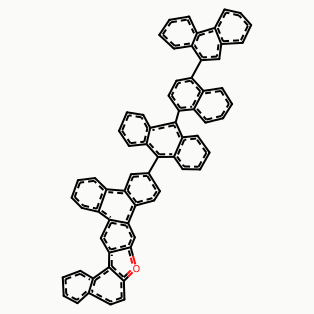 c1ccc2c(c1)cc(-c1ccc(-c3c4ccccc4c(-c4ccc5c(c4)c4ccccc4c4cc6c(cc54)oc4ccc5ccccc5c46)c4ccccc34)c3ccccc13)c1ccccc12